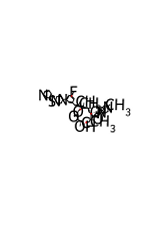 C/C(=C\c1cc(F)cc(N2CCN(Sc3cccnc3)CC2)c1)[C@H]1OC(=O)C[C@H](O)CC[C@H](C)[C@@H](OC(=O)N2CCN(C)CC2)/C=C/[C@@H]1C